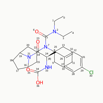 CCN(CC)C(=O)N(C1CCCCC1)C1CC2CCC(C1)N2C(=O)[C@@H](Cc1ccc(Cl)cc1)NC(=O)O